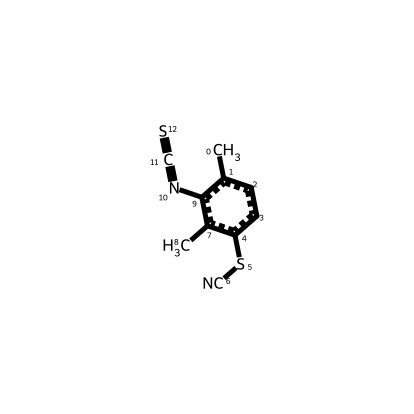 Cc1ccc(SC#N)c(C)c1N=C=S